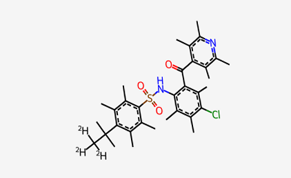 [2H]C([2H])([2H])C(C)(C)c1c(C)c(C)c(S(=O)(=O)Nc2c(C)c(C)c(Cl)c(C)c2C(=O)c2c(C)c(C)nc(C)c2C)c(C)c1C